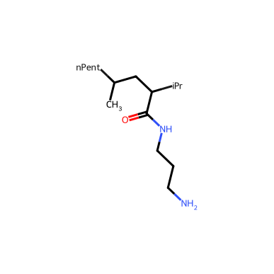 CCCCCC(C)CC(C(=O)NCCCN)C(C)C